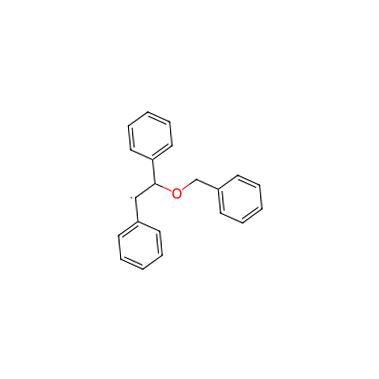 [CH](c1ccccc1)C(OCc1ccccc1)c1ccccc1